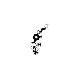 CC(NC(=O)OC(C)(C)C)c1ccc(OCCCCl)c(I)c1